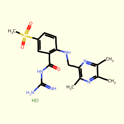 Cc1nc(C)c(CNc2ccc(S(C)(=O)=O)cc2C(=O)NC(=N)N)nc1C.Cl